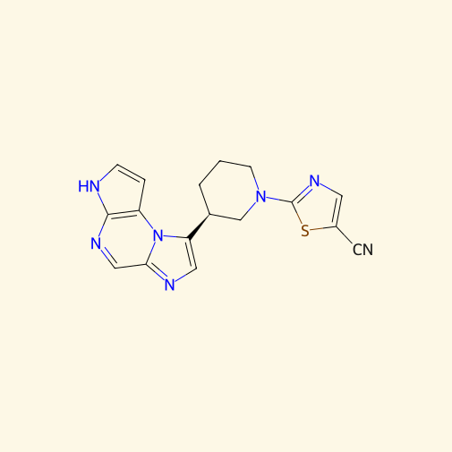 N#Cc1cnc(N2CCC[C@H](c3cnc4cnc5[nH]ccc5n34)C2)s1